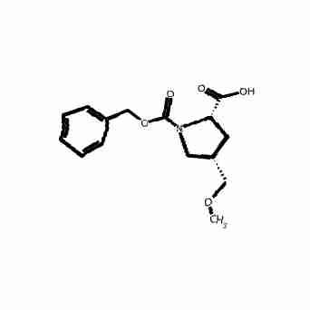 COC[C@H]1C[C@@H](C(=O)O)N(C(=O)OCc2ccccc2)C1